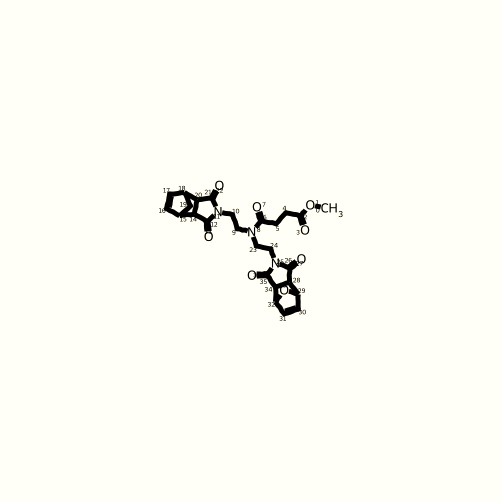 COC(=O)CCC(=O)N(CCN1C(=O)C2C3C=CC(C3)C2C1=O)CCN1C(=O)C2C3C=CC(O3)C2C1=O